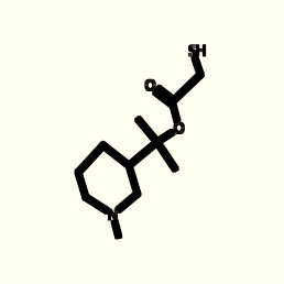 CN1CCCC(C(C)(C)OC(=O)CS)C1